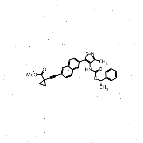 COC(=O)C1(C#Cc2ccc3cc(-c4snc(C)c4NC(=O)O[C@H](C)c4ccccc4)ccc3c2)CC1